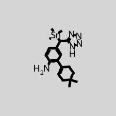 CC1(C)CC=C(c2cc([CH](c3nnn[nH]3)[Sn]([CH3])([CH3])[CH3])ccc2N)CC1